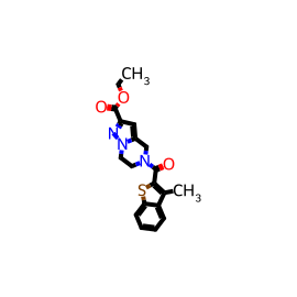 CCOC(=O)c1cc2n(n1)CCN(C(=O)c1sc3ccccc3c1C)C2